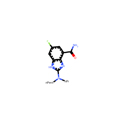 CCCCCN(CCC)c1nc2c(C(N)=O)cc(F)cc2[nH]1